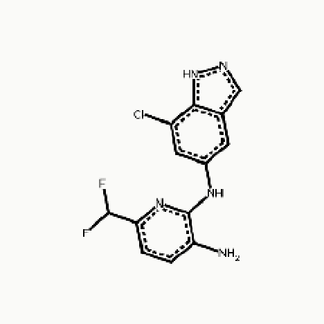 Nc1ccc(C(F)F)nc1Nc1cc(Cl)c2[nH]ncc2c1